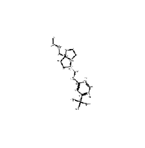 CSOC[C@@]12CCCN1[C@H](CSc1cc(C(F)(F)F)ncn1)CC2